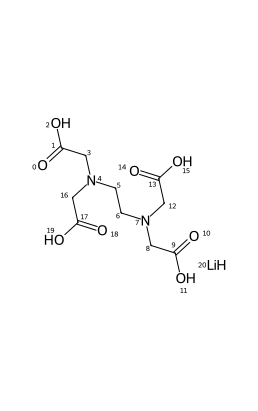 O=C(O)CN(CCN(CC(=O)O)CC(=O)O)CC(=O)O.[LiH]